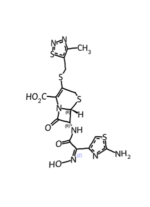 Cc1nnsc1CSC1=C(C(=O)O)N2C(=O)[C@@H](NC(=O)/C(=N\O)c3csc(N)n3)[C@H]2SC1